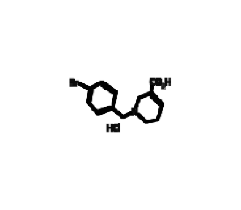 Cl.O=C(O)C1=CCCN(Cc2ccc(Br)cc2)C1